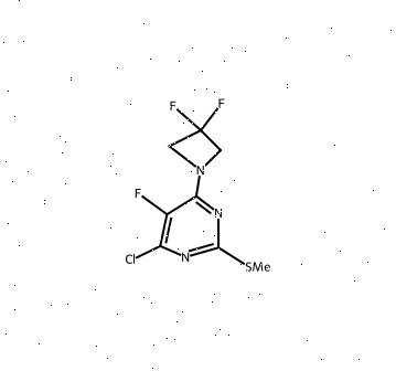 CSc1nc(Cl)c(F)c(N2CC(F)(F)C2)n1